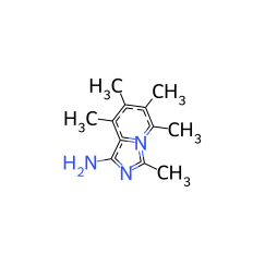 Cc1c(C)c(C)n2c(C)nc(N)c2c1C